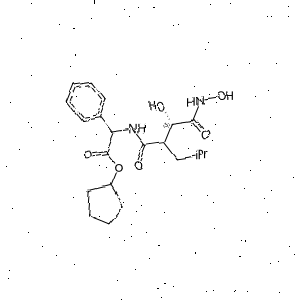 CC(C)CC(C(=O)NC(C(=O)OC1CCCC1)c1ccccc1)[C@H](O)C(=O)NO